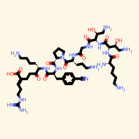 N#Cc1ccc(C[C@H](NC(=O)[C@@H]2CCCN2C(=O)[C@@H](CCCN)NC(=O)CNC(=O)[C@@H](NC(=O)[C@@H](NC(=O)[C@@H](N)CCCCN)[C@@H](O)CN)[C@@H](O)CN)C(=O)N[C@@H](CCCCN)C(=O)CC/C(=C\CCNC(=N)N)C(=O)O)cc1